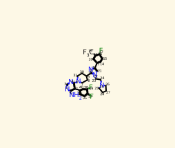 Nc1ncnc(N2CCC(c3nc(-c4ccc(F)c(C(F)(F)F)c4)cn3CCN3CCCC3)CC2)c1-c1ccc(F)c(F)c1